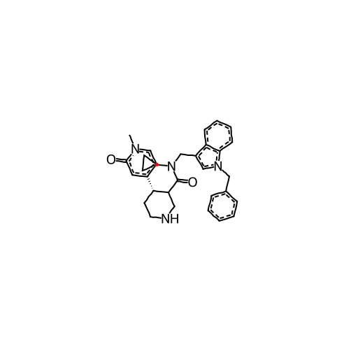 Cn1ccc([C@H]2CCNCC2C(=O)N(Cc2cn(Cc3ccccc3)c3ccccc23)C2CC2)cc1=O